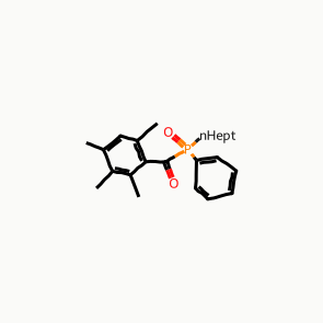 CCCCCCCP(=O)(C(=O)c1c(C)cc(C)c(C)c1C)c1ccccc1